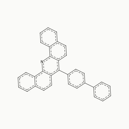 c1ccc(-c2ccc(-c3c4ccc5ccccc5c4nc4c3ccc3ccccc34)cc2)cc1